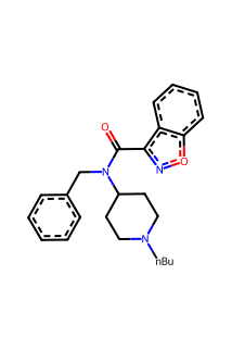 CCCCN1CCC(N(Cc2ccccc2)C(=O)c2noc3ccccc23)CC1